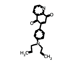 C=CCN(CC=C)c1ccc(C2=CC(=O)c3ncccc3C2=O)cc1